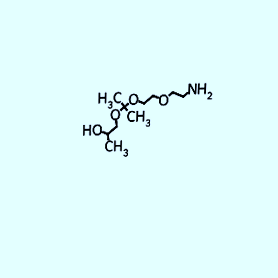 CC(O)COC(C)(C)OCCOCCN